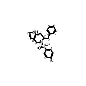 O=S(=O)(c1ccc(Cl)cc1)N1Cc2cn[nH]c2CC1Cc1ccccc1